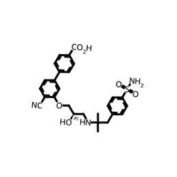 CC(C)(Cc1ccc(S(N)(=O)=O)cc1)NC[C@@H](O)COc1cc(-c2ccc(C(=O)O)cc2)ccc1C#N